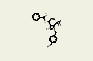 CC(C)c1ccc(Cn2[nH]c3c2[C@@]2(CC[C@H]3OC(=O)c3ccccc3)CO2)cc1